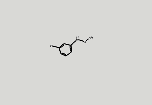 CCCONc1cccc(Cl)c1